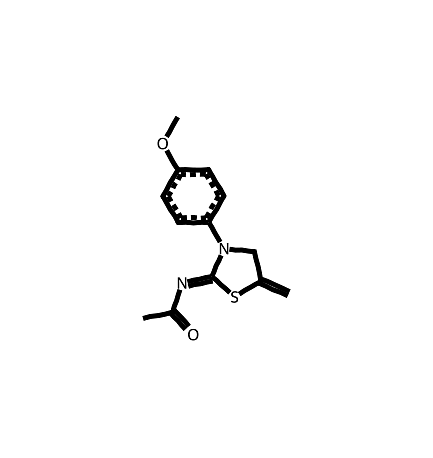 C=C1CN(c2ccc(OC)cc2)C(=NC(C)=O)S1